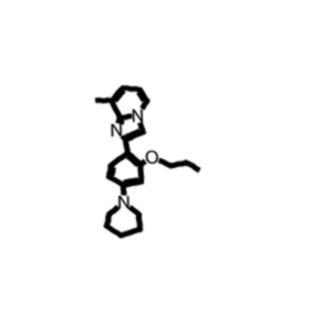 CCCOc1cc(N2CCCCC2)ccc1-c1cn2cccc(C)c2n1